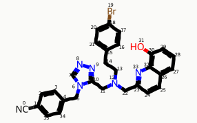 N#Cc1ccc(Cn2cnnc2CN(CCc2ccc(Br)cc2)Cc2ccc3cccc(O)c3n2)cc1